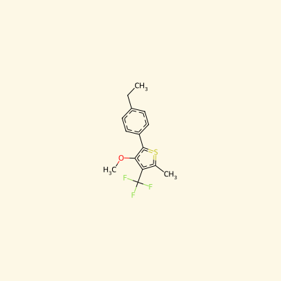 CCc1ccc(-c2sc(C)c(C(F)(F)F)c2OC)cc1